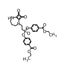 CCOC(=O)c1ccc(OP(=O)(CCN2CCCNc3c2c(=O)c3=O)Oc2ccc(C(=O)OCC)cc2)cc1